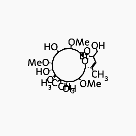 CC[C@H](/C=C(/C)[C@@H]1C[C@@H](OC)C[C@H](O)C(C)(C)C(=O)[C@H](O)[C@H](OC)C[C@@H](O)C[C@@H](OC)CC(=O)O1)CO